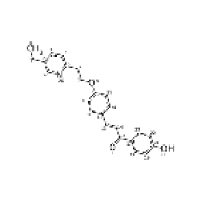 CCc1ccc(CCOc2ccc(/C=C/C(=O)c3ccc(O)cc3)cc2)nc1